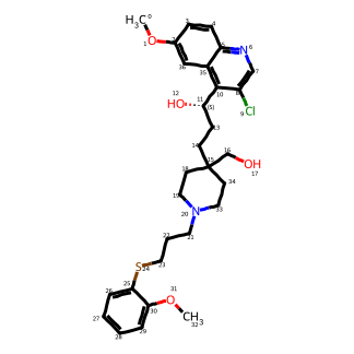 COc1ccc2ncc(Cl)c([C@@H](O)CCC3(CO)CCN(CCCSc4ccccc4OC)CC3)c2c1